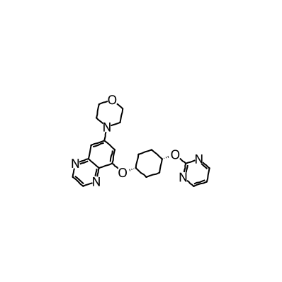 c1cnc(O[C@H]2CC[C@@H](Oc3cc(N4CCOCC4)cc4nccnc34)CC2)nc1